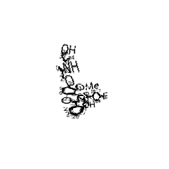 C=C(COc1cccc(C2SC(c3ccc(F)cc3)=NN2C(=O)c2ccccc2O)c1OC)NC(C)CO